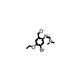 CCOc1cc(C=O)c(/N=C\N(C)C)cc1Br